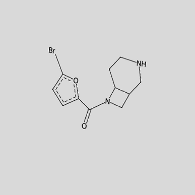 O=C(c1ccc(Br)o1)N1CC2CNCCC21